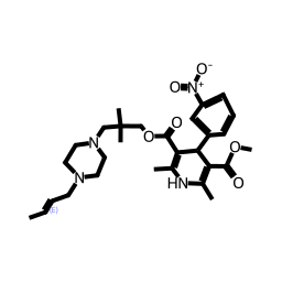 C/C=C/CN1CCN(CC(C)(C)COC(=O)C2=C(C)NC(C)=C(C(=O)OC)C2c2cccc([N+](=O)[O-])c2)CC1